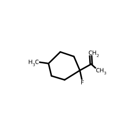 C=C(C)C1(F)CCC(C)CC1